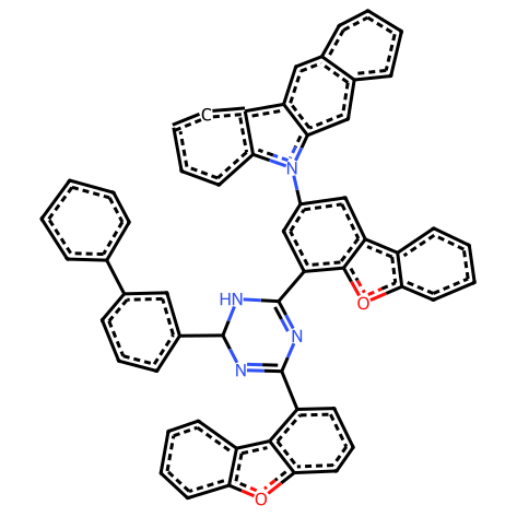 c1ccc(-c2cccc(C3N=C(c4cccc5oc6ccccc6c45)N=C(c4cc(-n5c6ccccc6c6cc7ccccc7cc65)cc5c4oc4ccccc45)N3)c2)cc1